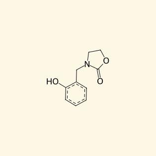 O=C1OCCN1Cc1ccccc1O